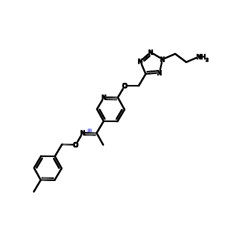 C/C(=N\OCc1ccc(C)cc1)c1ccc(OCc2nnn(CCN)n2)nc1